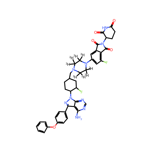 [2H]C1([2H])N(CC2CCC(n3nc(-c4ccc(Oc5ccccc5)cc4)c4c(N)ncnc43)C(F)C2)C([2H])([2H])C([2H])([2H])N(c2cc(F)c3c(c2)C(=O)N(C2CCC(=O)NC2=O)C3=O)C1([2H])[2H]